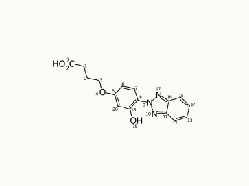 O=C(O)CCCOc1ccc(-n2nc3ccccc3n2)c(O)c1